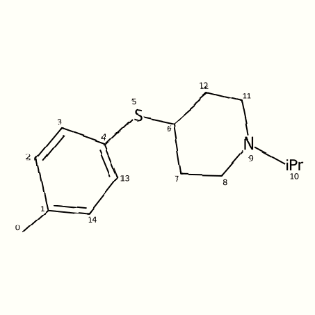 Cc1ccc(SC2CCN(C(C)C)CC2)cc1